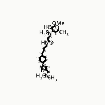 CO[C@@H]1O[C@H](C)C[C@H](N(C)CCC(=O)NCCCCc2ccc(-n3cc(CN(C)C)nn3)cc2)[C@H]1O